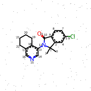 CC1(C)c2cc(Cl)ccc2C(=O)N1c1cncc2c1CCCC2